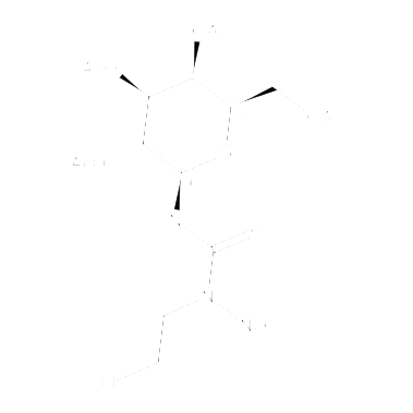 CC(=O)OC[C@H]1O[C@@H](NC(=O)N(CCCl)N=O)[C@H](OC(C)=O)[C@@H](OC(C)=O)[C@H]1OC(C)=O